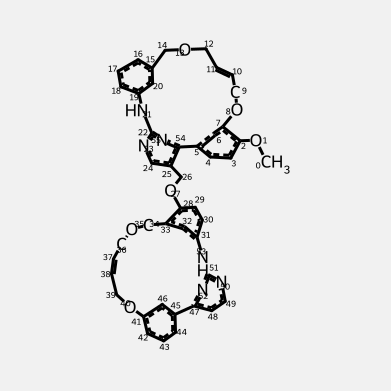 COc1ccc2cc1OC/C=C/COCc1cccc(c1)Nc1ncc(COc3ccc4cc3COC/C=C\COc3cccc(c3)-c3ccnc(n3)N4)c-2n1